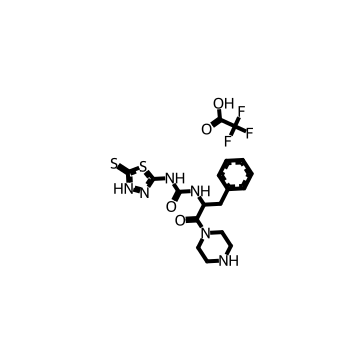 O=C(Nc1n[nH]c(=S)s1)NC(Cc1ccccc1)C(=O)N1CCNCC1.O=C(O)C(F)(F)F